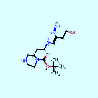 CC(C)(C)OC(=O)N1CCNC[C@H]1CCN/C=C(/CCO)N=N